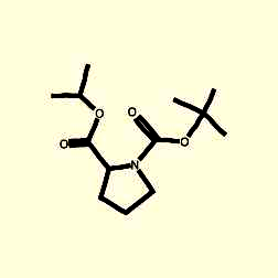 CC(C)OC(=O)C1CCCN1C(=O)OC(C)(C)C